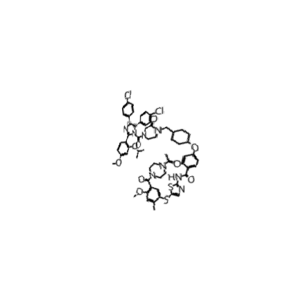 COc1ccc(C2=N[C@@H](c3ccc(Cl)cc3)[C@@H](c3ccc(Cl)cc3)N2C(=O)N2CCN(CC3CCC(Oc4ccc(C(=O)Nc5ncc(Sc6cc(C(=O)N7CCN(C(C)=O)CC7)c(OC)cc6C)s5)cc4)CC3)C(=O)C2)c(OC(C)C)c1